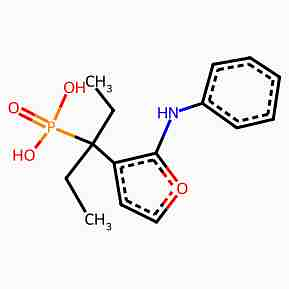 CCC(CC)(c1ccoc1Nc1ccccc1)P(=O)(O)O